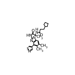 Cc1cc2c(nc3n2C(NC(=O)CCC2CCCC2)(C(F)(F)F)C(=O)N3)c(-c2cnsc2)c1C